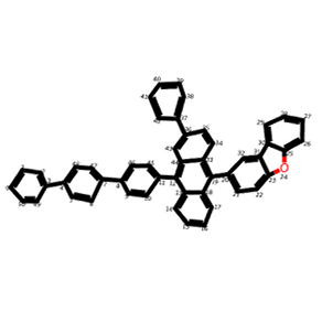 c1ccc(-c2ccc(-c3ccc(-c4c5ccccc5c(-c5ccc6oc7ccccc7c6c5)c5ccc(-c6ccccc6)cc45)cc3)cc2)cc1